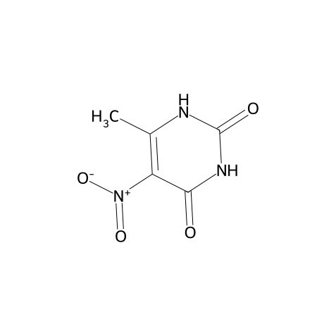 Cc1[nH]c(=O)[nH]c(=O)c1[N+](=O)[O-]